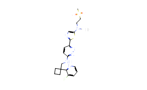 CS(=O)(=O)CCN(C=O)c1cnc(-c2ccc(NCC3(c4ncccc4F)CCC3)nn2)s1